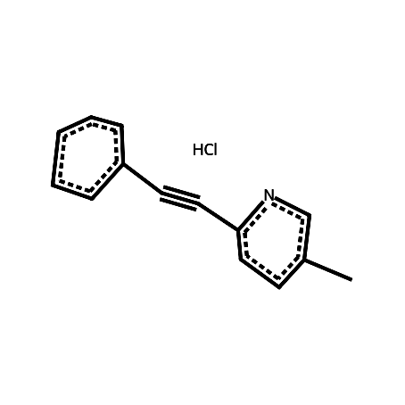 Cc1ccc(C#Cc2ccccc2)nc1.Cl